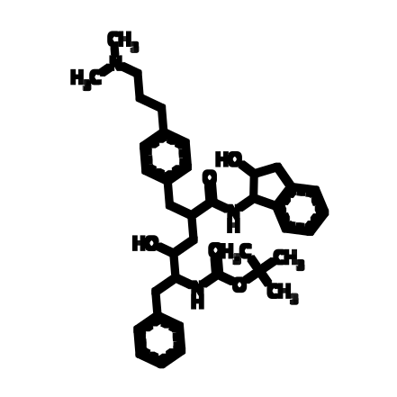 CN(C)CCCc1ccc(CC(CC(O)C(Cc2ccccc2)NC(=O)OC(C)(C)C)C(=O)NC2c3ccccc3CC2O)cc1